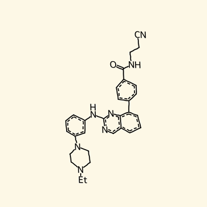 CCN1CCN(c2cccc(Nc3ncc4cccc(-c5ccc(C(=O)NCCC#N)cc5)c4n3)c2)CC1